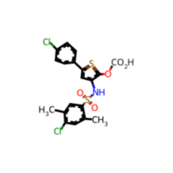 Cc1cc(S(=O)(=O)Nc2cc(-c3ccc(Cl)cc3)sc2OC(=O)O)c(C)cc1Cl